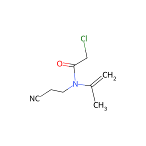 C=C(C)N(CCC#N)C(=O)CCl